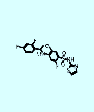 CC(Nc1cc(F)c(S(=O)(=O)Nc2nccs2)cc1Cl)c1ccc(F)cc1F